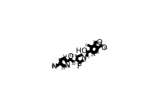 Cc1c([C@@H](O)CN2CC[C@H](CC(=O)c3ccc(C#N)cn3)[C@H](F)C2)ccc2c1COC2=O